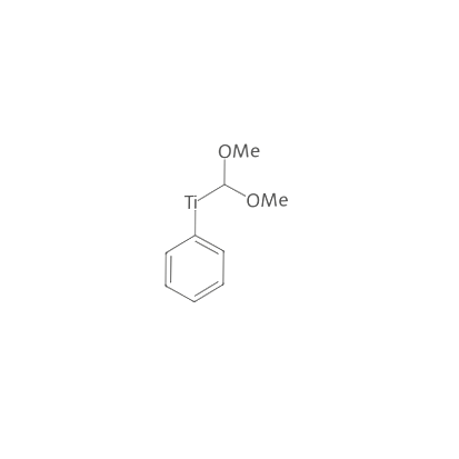 CO[CH](OC)[Ti][c]1ccccc1